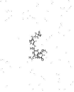 Cc1nc(NCc2cnn(CC3CC(F)(F)C3)c2)cc2c1NC(=O)CN2C